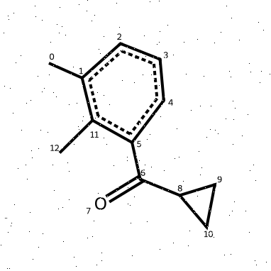 Cc1cccc(C(=O)C2CC2)c1C